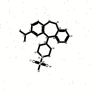 CC(C)c1ccc2c(c1)C(C1CCN(S(C)(=O)=O)CC1)c1ccccc1CC2